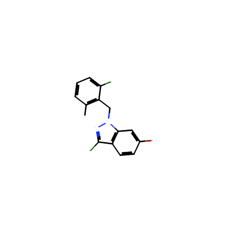 Cc1cccc(Cl)c1Cn1nc(Cl)c2ccc(Br)cc21